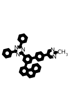 Cc1ncc(-c2ccc(-c3cc(-c4nc(-c5ccccc5)nc(-c5ccccc5)n4)cc(-c4cccc5ccc6ccccc6c45)c3)cc2)cn1